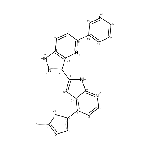 Cc1ccc(-c2ccnc3[nH]c(-c4n[nH]c5ccc(-c6cccnc6)nc45)cc23)s1